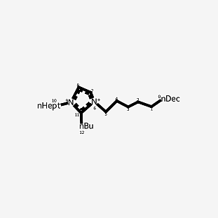 CCCCCCCCCCCCCCC[n+]1ccn(CCCCCCC)c1CCCC